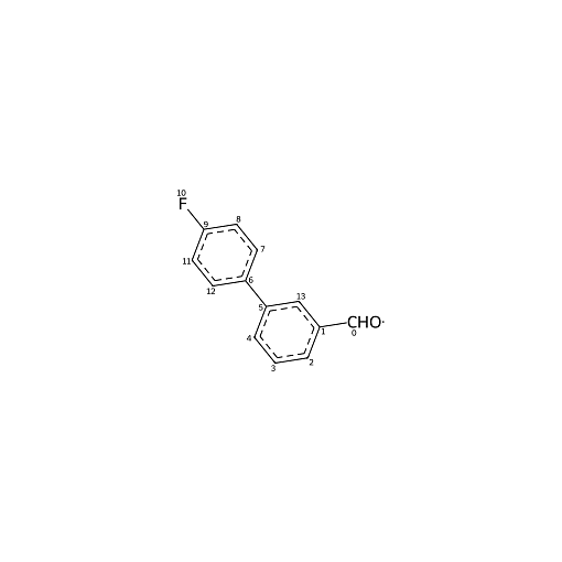 O=[C]c1cccc(-c2ccc(F)cc2)c1